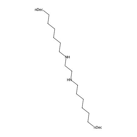 CCCCCCCCCCCCCCCCNCCNCCCCCCCCCCCCCCCC